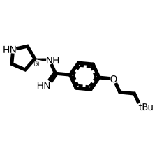 CC(C)(C)CCOc1ccc(C(=N)N[C@H]2CCNC2)cc1